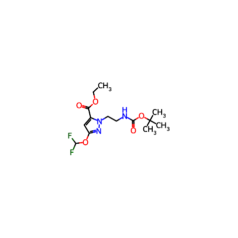 CCOC(=O)c1cc(OC(F)F)nn1CCNC(=O)OC(C)(C)C